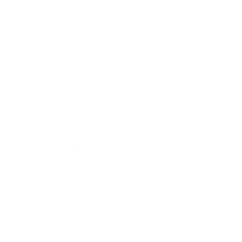 CC(C)(C)CCc1ccc(S(=O)(=O)O)cc1